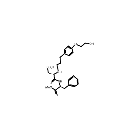 COC(=O)[C@H](Cc1ccccc1)NC(=O)[C@H](CC(=O)O)NCCCc1ccc(OCCO)cc1